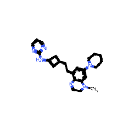 CN1CC=Nc2c(CCC3CC(Nc4ncccn4)C3)cc(N3CCCCC3)cc21